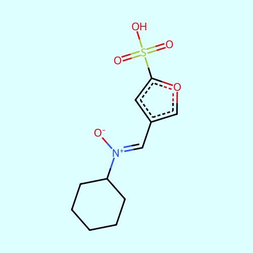 O=S(=O)(O)c1cc(C=[N+]([O-])C2CCCCC2)co1